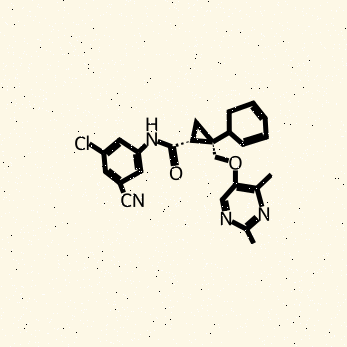 Cc1ncc(OC[C@@]2(C3C=CC=CC3)C[C@H]2C(=O)Nc2cc(Cl)cc(C#N)c2)c(C)n1